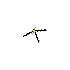 CCCCCCCCP(N)(CCl)(CCCCCCCC)CCCCCCCC